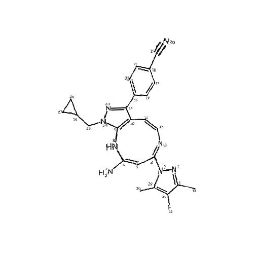 Cc1nn(-c2cc(N)[nH]c3c(ccn2)c(-c2ccc(C#N)cc2)nn3CC2CC2)c(C)c1F